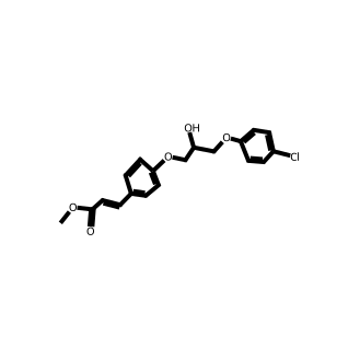 COC(=O)C=Cc1ccc(OCC(O)COc2ccc(Cl)cc2)cc1